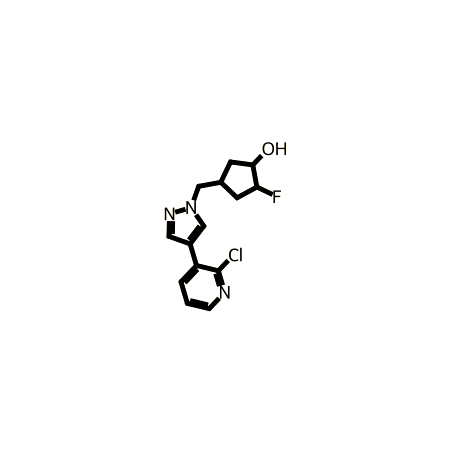 OC1CC(Cn2cc(-c3cccnc3Cl)cn2)CC1F